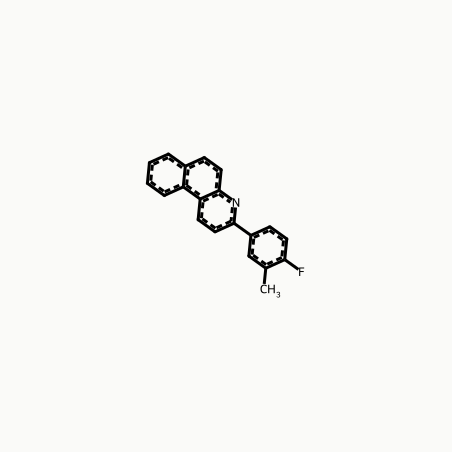 Cc1cc(-c2ccc3c(ccc4ccccc43)n2)ccc1F